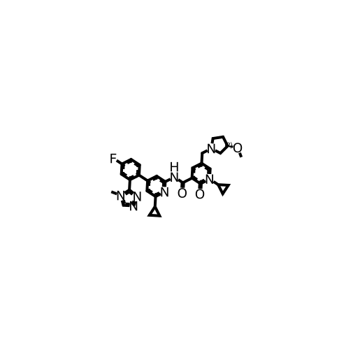 CO[C@@H]1CCN(Cc2cc(C(=O)Nc3cc(-c4ccc(F)cc4-c4nncn4C)cc(C4CC4)n3)c(=O)n(C3CC3)c2)C1